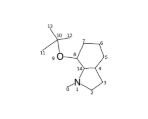 CN1CCC2CCCC(OC(C)(C)C)C21